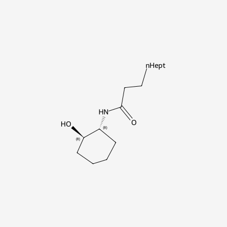 CCCCCCCCCC(=O)N[C@@H]1CCCC[C@H]1O